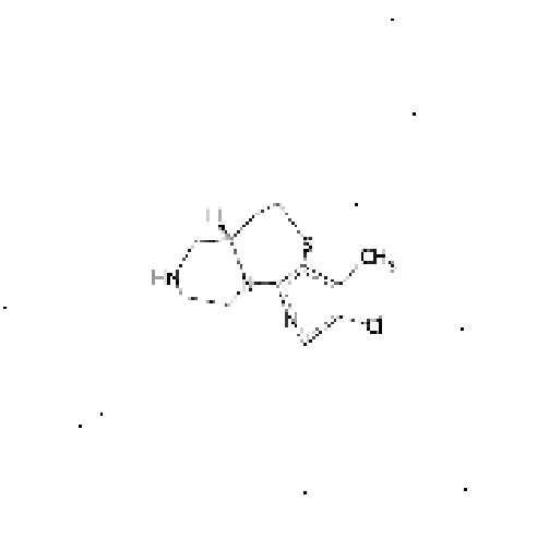 Cc1c(Cl)cnc2c1SCC[C@H]1CNCCN21